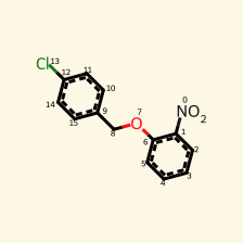 O=[N+]([O-])c1ccccc1OCc1ccc(Cl)cc1